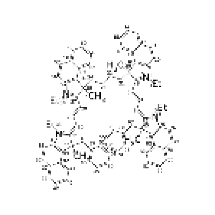 CCN1C(=CC=CC2=[N+](CC)c3ccc4ccccc4c3C2(C)CCCCC2(C)C(C=CC=C3N(CC)c4ccc5ccccc5c4C3(C)Cc3ccccc3)=[N+](CC)c3ccc4ccccc4c32)C(C)(Cc2ccccc2)c2c1ccc1ccccc21